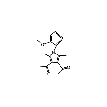 COc1ccccc1-n1c(C)c(C(C)=O)c(C(C)=O)c1C